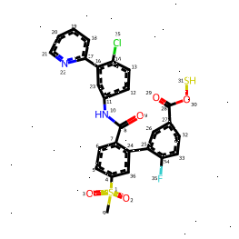 CS(=O)(=O)c1ccc(C(=O)Nc2ccc(Cl)c(-c3ccccn3)c2)c(-c2cc(C(=O)OS)ccc2F)c1